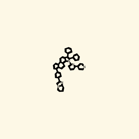 c1ccc(-c2c(-c3ccccc3)n(-c3cccc(-c4ccncc4)n3)c3c2ccc2c4cccc(-c5ccc(-c6cn7ccccc7n6)cc5)c4ccc23)cc1